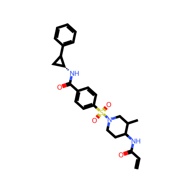 C=CC(=O)NC1CCN(S(=O)(=O)c2ccc(C(=O)N[C@@H]3CC3c3ccccc3)cc2)CC1C